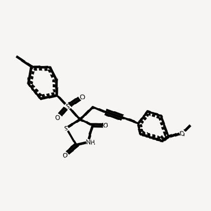 COc1ccc(C#CCC2(S(=O)(=O)c3ccc(C)cc3)SC(=O)NC2=O)cc1